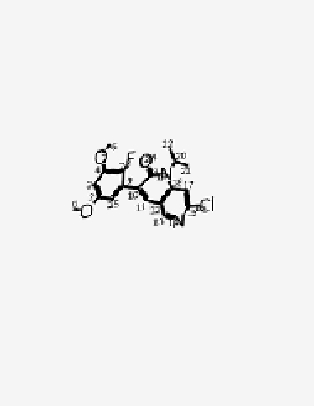 COc1cc(OC)c(F)c(-c2cc3cnc(Cl)cc3n(C(C)C)c2=O)c1